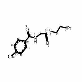 CC(C)C[CH]NC(=O)CNC(=O)c1ccc(Cl)cc1